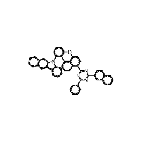 c1ccc(-c2nc(-c3ccc4ccccc4c3)nc(-c3ccc4c5c(cccc35)-c3c(cccc3-n3c5ccccc5c5cc6ccccc6cc53)O4)n2)cc1